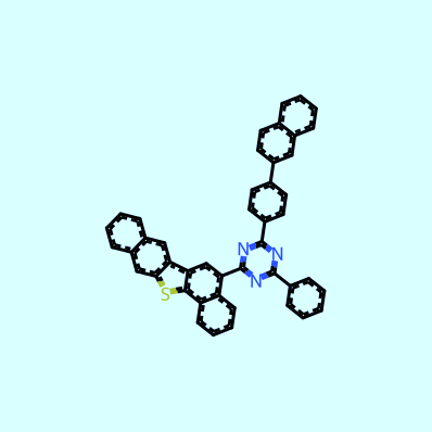 c1ccc(-c2nc(-c3ccc(-c4ccc5ccccc5c4)cc3)nc(-c3cc4c5cc6ccccc6cc5sc4c4ccccc34)n2)cc1